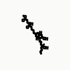 CCCC[C@@](C)(O)C/C=C/[C@@H]1[C@H]2CC(CCCCC(=O)NCCC(=O)OC)=C[C@H]2C[C@H]1O